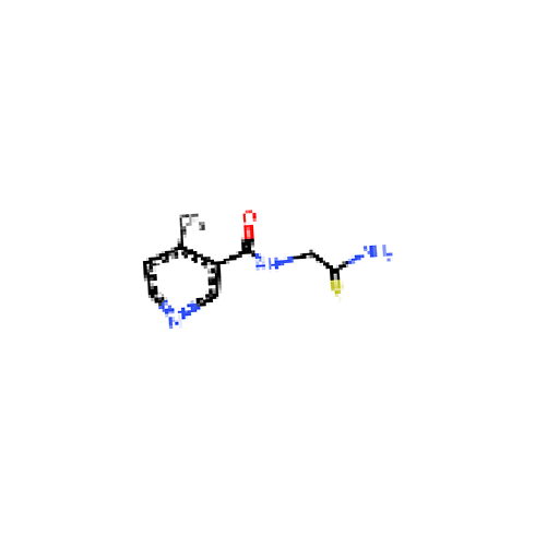 NC(=S)CNC(=O)c1cnccc1C(F)(F)F